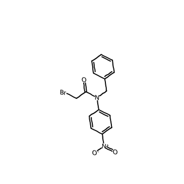 O=C(CBr)N(Cc1ccccc1)c1ccc([N+](=O)[O-])cc1